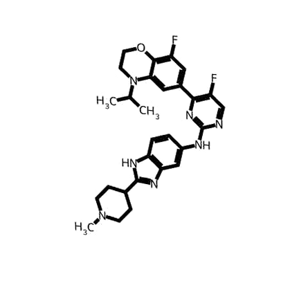 CC(C)N1CCOc2c(F)cc(-c3nc(Nc4ccc5[nH]c(C6CCN(C)CC6)nc5c4)ncc3F)cc21